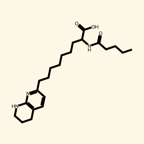 CCCCC(=O)NC(CCCCCCCc1ccc2c(n1)NCCC2)C(=O)O